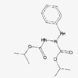 CC(C)OC(=O)NN(Pc1ccccc1)C(=O)OC(C)C